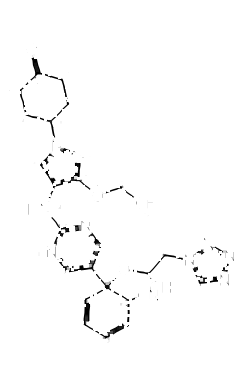 C[C@@H](Cn1cnnn1)OC1(c2cnc(Nc3cn(C4CCC(=O)CC4)nc3OCC(F)(F)F)nc2)C=CC=CC1C#N